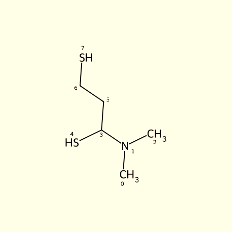 CN(C)C(S)CCS